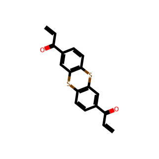 C=CC(=O)c1ccc2c(c1)Sc1ccc(C(=O)C=C)cc1S2